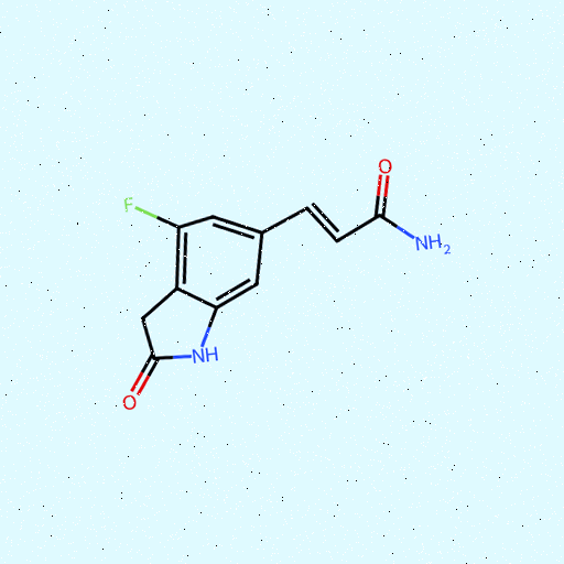 NC(=O)C=Cc1cc(F)c2c(c1)NC(=O)C2